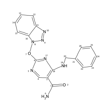 NC(=O)c1cnc(On2nnc3ccccc32)nc1NCc1ccccc1